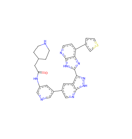 O=C(CC1CCNCC1)Nc1cncc(-c2cnc3[nH]nc(-c4nc5c(-c6ccsc6)ccnc5[nH]4)c3c2)c1